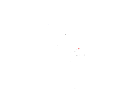 CC(=O)Oc1cc(O)c2c3c1C[C@@H]1[C@@H]4CC[C@H](N(CC(C)C)C(=O)/C=C/c5ccoc5)[C@H](O2)[C@]34CCN1CC1CC1